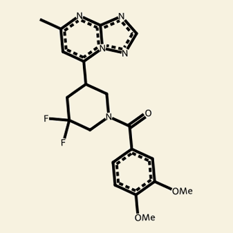 COc1ccc(C(=O)N2CC(c3cc(C)nc4ncnn34)CC(F)(F)C2)cc1OC